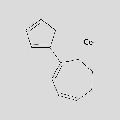 C1=CCCCC(C2=CC=CC2)=C1.[Co]